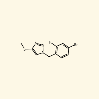 CSc1cn(Cc2ccc(Br)cc2F)nn1